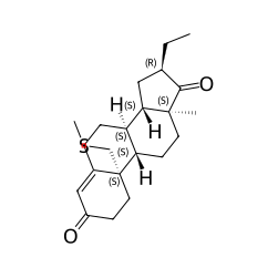 CC[C@@H]1C[C@H]2[C@@H]3CCC4=CC(=O)CC[C@]4(CSC)[C@H]3CC[C@]2(C)C1=O